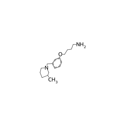 CC1CCCN(Cc2cccc(OCCCCN)c2)C1